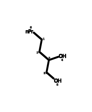 CCCCCC(O)[CH]O